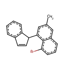 Cc1cc(C2C=Cc3ccccc32)c2c(Br)cccc2c1